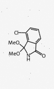 COC1(OC)NC(=O)c2cccc(Cl)c21